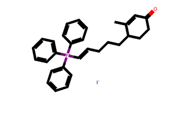 CC1=CC(=O)CCC1CCCC=C[P+](c1ccccc1)(c1ccccc1)c1ccccc1.[I-]